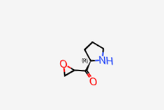 O=C(C1CO1)[C@H]1CCCN1